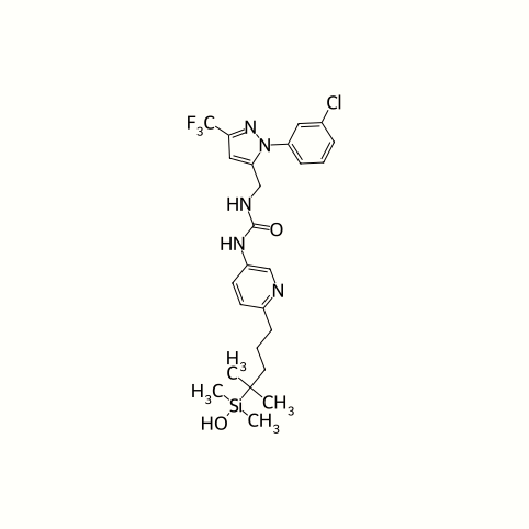 CC(C)(CCCc1ccc(NC(=O)NCc2cc(C(F)(F)F)nn2-c2cccc(Cl)c2)cn1)[Si](C)(C)O